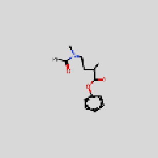 CC(C)C(=O)N(C)CCC(C)C(=O)Oc1ccccc1